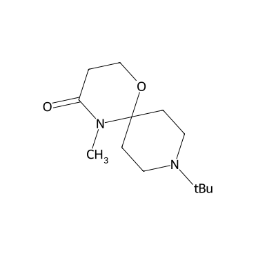 CN1C(=O)CCOC12CCN(C(C)(C)C)CC2